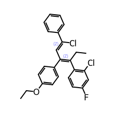 CCOc1ccc(C(/C=C(\Cl)c2ccccc2)=C(/CC)c2ccc(F)cc2Cl)cc1